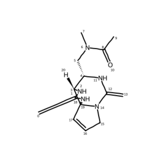 C=C1N[C@H]2[C@H](CN(C)C(C)=O)NC(=C)N3CC=C[C@]23N1